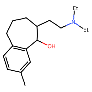 CCN(CC)CCC1CCCc2ccc(C)cc2C1O